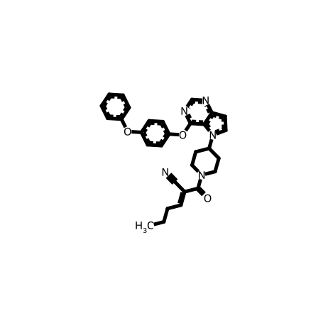 CCCC=C(C#N)C(=O)N1CCC(n2ccc3ncnc(Oc4ccc(Oc5ccccc5)cc4)c32)CC1